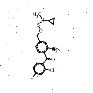 CN(SOCc1ccc(C(=O)c2ccc(F)cc2Cl)c(Br)c1)C1CC1.S